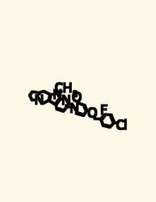 Cn1c2c(c3ccc(-n4ccc(OCc5ccc(Cl)cc5F)cc4=O)nc31)CN1CCCC1C2